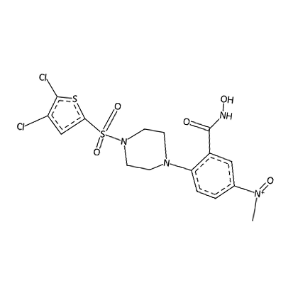 C[N+](=O)c1ccc(N2CCN(S(=O)(=O)c3cc(Cl)c(Cl)s3)CC2)c(C(=O)NO)c1